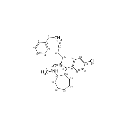 CCc1ccccc1.CNC1CCCCCC1N(C(=O)CCCl)c1ccc(Cl)cc1